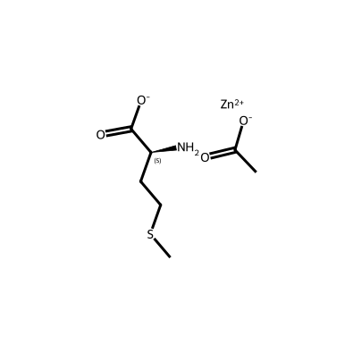 CC(=O)[O-].CSCC[C@H](N)C(=O)[O-].[Zn+2]